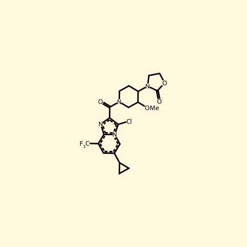 COC1CN(C(=O)c2nc3c(C(F)(F)F)cc(C4CC4)cn3c2Cl)CCC1N1CCOC1=O